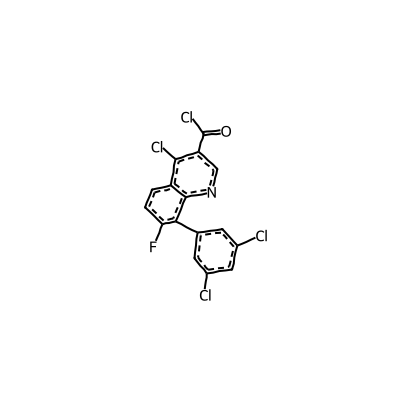 O=C(Cl)c1cnc2c(-c3cc(Cl)cc(Cl)c3)c(F)ccc2c1Cl